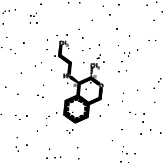 CCCN[C@@H]1c2ccccc2CO[C@H]1C